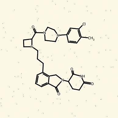 Cc1ccc(N2CCN(C(=O)C3CCN3CCCc3cccc4c3CN(C3CCC(=O)NC3=O)C4=O)CC2)cc1Cl